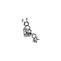 Cc1nnc2n1CCN(C(=O)/C=C(/Cc1cc(F)c(F)cc1F)NC(=O)OC(C)(C)C)C2